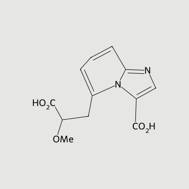 COC(Cc1cccc2ncc(C(=O)O)n12)C(=O)O